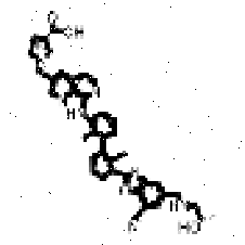 Cc1c(Nc2nccc3cc(CN4CC[C@@H](C(=O)O)C4)cnc23)cccc1-c1cccc(-c2nc3cc(CNC[C@H](C)O)cc(C#N)c3o2)c1C